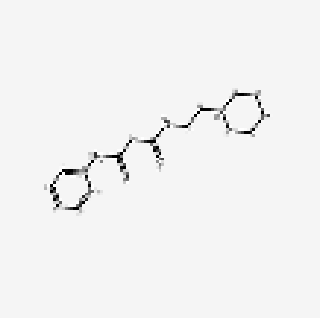 O=C(CC(=S)Nc1ccccn1)OCCC1CCCCC1